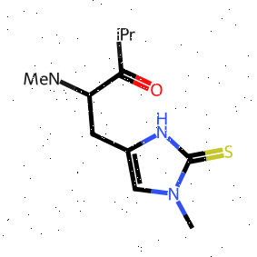 CNC(Cc1cn(C)c(=S)[nH]1)C(=O)C(C)C